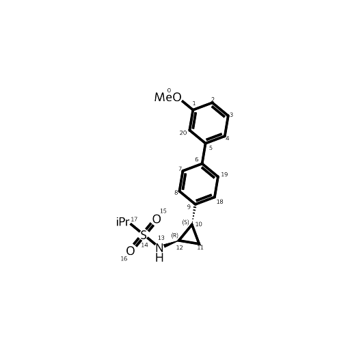 COc1cccc(-c2ccc([C@@H]3C[C@H]3NS(=O)(=O)C(C)C)cc2)c1